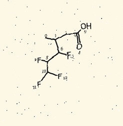 CC(CC(=O)O)C(F)C(F)C(F)F